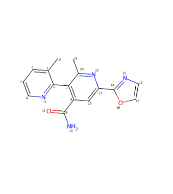 Cc1cccnc1-c1c(C(N)=O)cc(-c2ncco2)nc1C